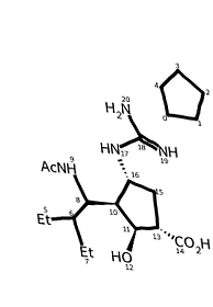 C1CCCC1.CCC(CC)C(NC(C)=O)[C@@H]1[C@H](O)[C@@H](C(=O)O)C[C@H]1NC(=N)N